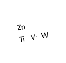 [Ti].[V].[W].[Zn]